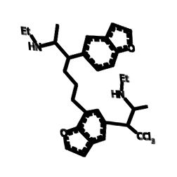 CCNC(C)C(CCCc1cc(C(C(C)NCC)C(Cl)(Cl)Cl)cc2ccoc12)c1ccc2occc2c1